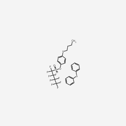 CCCCSc1ccc(OS(=O)(=O)C(F)(F)C(F)(F)C(F)(F)C(F)(F)F)cc1.c1ccc(Sc2ccccc2)cc1